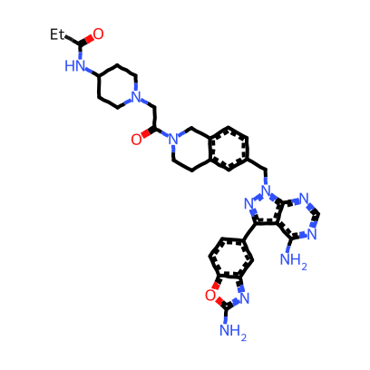 CCC(=O)NC1CCN(CC(=O)N2CCc3cc(Cn4nc(-c5ccc6oc(N)nc6c5)c5c(N)ncnc54)ccc3C2)CC1